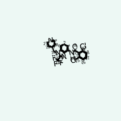 O=C(Nc1cccc2c1nc(C(F)(F)F)n2Cc1ccncc1)c1c(Cl)cccc1Cl